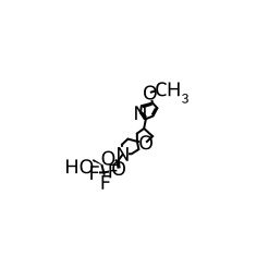 COc1ccc(C2COC3(CCN(C(=O)O[C@H](CO)C(F)(F)F)CC3)C2)nc1